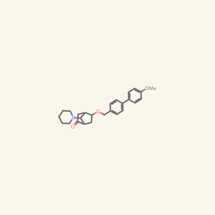 COc1ccc(-c2ccc(COC3CC4C(=O)CC3C4N3CCCCC3)cc2)cc1